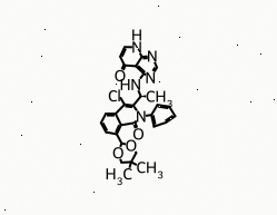 C[C@H](Nc1ncnc2[nH]ccc(=O)c12)c1c(Cl)c2cccc(C3OCC(C)(C)CO3)c2c(=O)n1-c1ccccc1